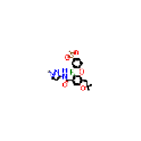 Cn1ccc(NC(=O)c2cc3c(c(Oc4ccc(S(C)(=O)=O)cc4)c2F)CC(C)(C)O3)n1